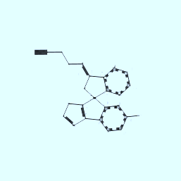 C#CCC/C=C1\CC2(C3=C(C=CC3)c3ccc(F)cc32)c2ccccc21